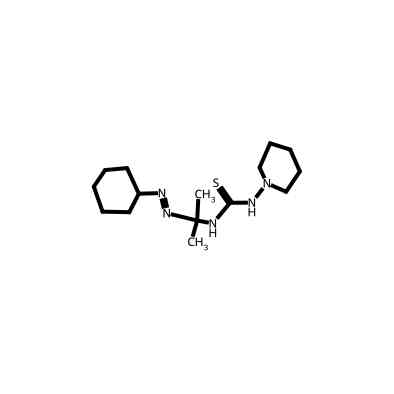 CC(C)(N=NC1CCCCC1)NC(=S)NN1CCCCC1